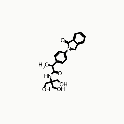 CC(C(=O)NC(CO)(CO)CO)c1ccc(N2Cc3ccccc3C2=O)cc1